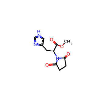 COC(=O)[C@H](Cc1c[nH]cn1)N1C(=O)CCC1=O